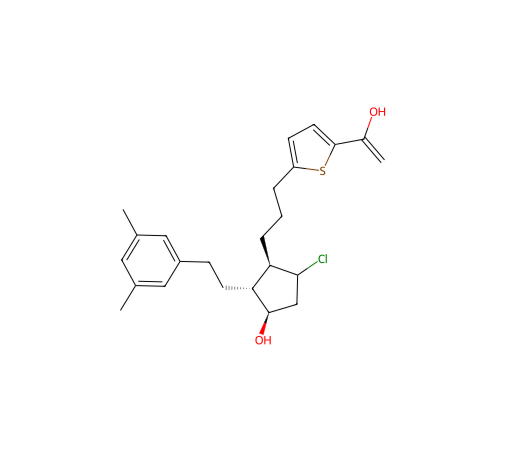 C=C(O)c1ccc(CCC[C@H]2C(Cl)C[C@@H](O)[C@@H]2CCc2cc(C)cc(C)c2)s1